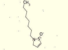 CCCCCCCCN1CC=C[S+]1[O-]